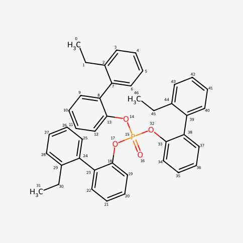 CCc1ccccc1-c1ccccc1OP(=O)(Oc1ccccc1-c1ccccc1CC)Oc1ccccc1-c1ccccc1CC